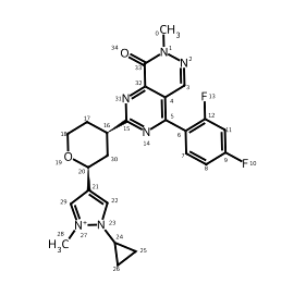 Cn1ncc2c(-c3ccc(F)cc3F)nc([C@@H]3CCO[C@H](c4cn(C5CC5)[n+](C)c4)C3)nc2c1=O